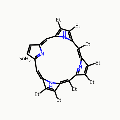 CCC1=C(CC)c2nc1c(CC)c1[nH]c(cc3nc(cc4[nH]c(c2CC)c(CC)c4CC)C=C3)c(CC)c1CC.[SnH2]